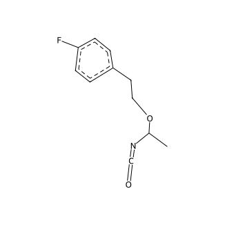 CC(N=C=O)OCCc1ccc(F)cc1